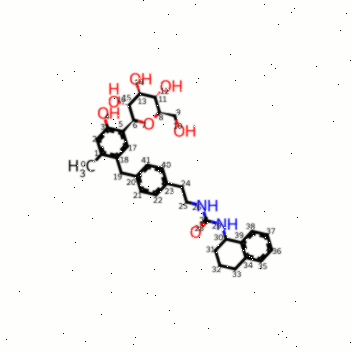 Cc1cc(O)c([C@@H]2O[C@H](CO)[C@@H](O)[C@H](O)[C@H]2O)cc1Cc1ccc(CCNC(=O)NC2CCCc3ccccc32)cc1